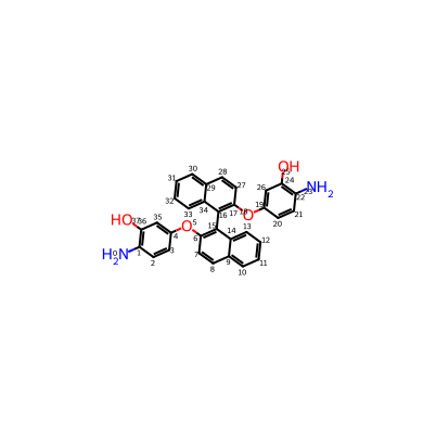 Nc1ccc(Oc2ccc3ccccc3c2-c2c(Oc3ccc(N)c(O)c3)ccc3ccccc23)cc1O